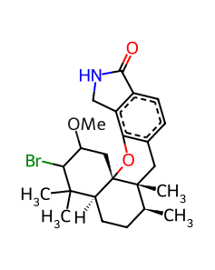 COC1C[C@@]23Oc4c(ccc5c4CNC5=O)C[C@]2(C)[C@@H](C)CC[C@H]3C(C)(C)C1Br